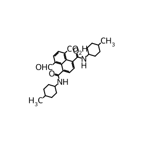 CC1CCC(NC(=O)c2ccc(C(=O)NC3CCC(C)CC3)c3c(C(=O)O)ccc(C=O)c23)CC1